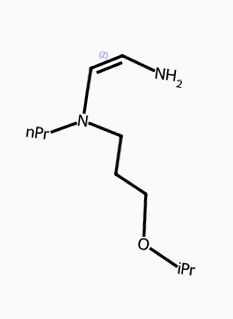 CCCN(/C=C\N)CCCOC(C)C